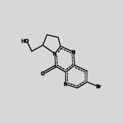 O=c1c2ncc(Br)cc2nc2n1C(CO)CC2